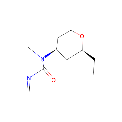 C=NC(=O)N(C)[C@H]1CCO[C@@H](CC)C1